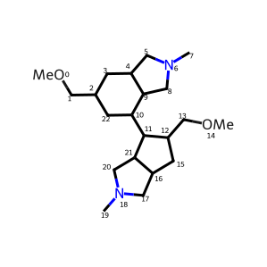 COCC1CC2CN(C)CC2C(C2C(COC)CC3CN(C)CC32)C1